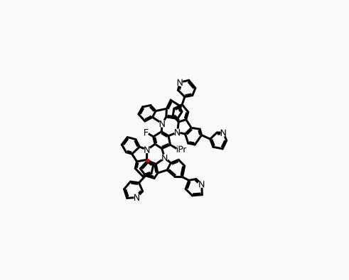 CC(C)c1c(-n2c3ccc(-c4cccnc4)cc3c3cc(-c4cccnc4)ccc32)c(-n2c3ccccc3c3ccccc32)c(F)c(-n2c3ccccc3c3ccccc32)c1-n1c2ccc(-c3cccnc3)cc2c2cc(-c3cccnc3)ccc21